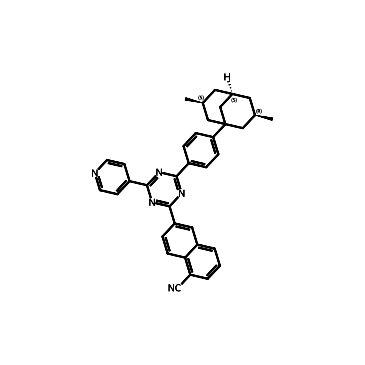 C[C@@H]1C[C@@H]2C[C@H](C)CC(c3ccc(-c4nc(-c5ccncc5)nc(-c5ccc6c(C#N)cccc6c5)n4)cc3)(C1)C2